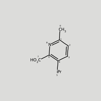 Cc1ccc(C(C)C)c(C(=O)O)n1